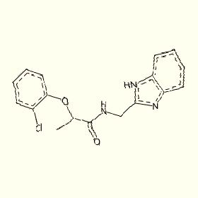 CC(Oc1ccccc1Cl)C(=O)NCc1nc2ccccc2[nH]1